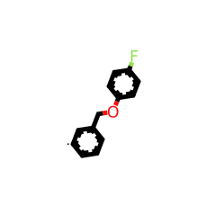 Fc1ccc(OCc2c[c]ccc2)cc1